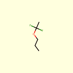 CC[CH]OC(C)(F)F